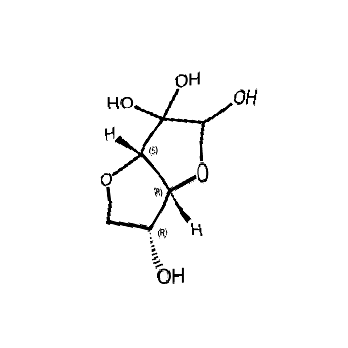 OC1O[C@@H]2[C@H](O)CO[C@@H]2C1(O)O